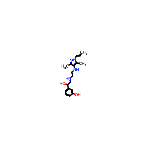 C=CCn1nc(C)c(NCCNCC(O)c2cccc(O)c2)c1C